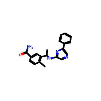 Cc1ccc(C(N)=O)cc1C(C)Nc1cncc(-c2ccccc2)n1